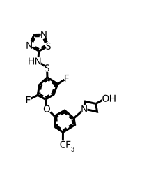 OC1CN(c2cc(Oc3cc(F)c(SNc4ncns4)cc3F)cc(C(F)(F)F)c2)C1